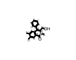 Cc1cc2c(-c3ccccc3)c(CO)n(C)c(=O)c2cc1C